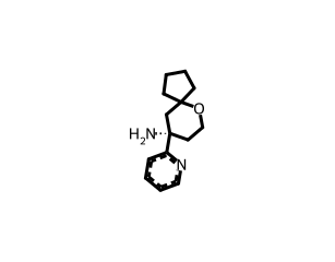 N[C@@]1(c2ccccn2)CCOC2(CCCC2)C1